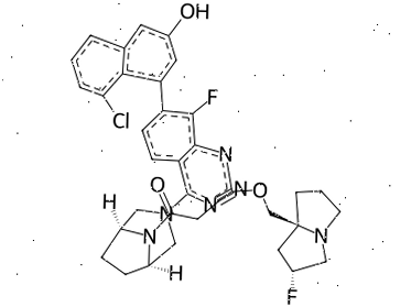 N#CCC(=O)N1[C@@H]2CC[C@H]1CN(c1nc(OC[C@@]34CCCN3C[C@H](F)C4)nc3c(F)c(-c4cc(O)cc5cccc(Cl)c45)ccc13)C2